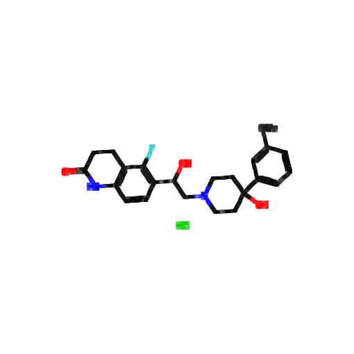 COc1cccc(C2(O)CCN(CC(O)c3ccc4c(c3F)CCC(=O)N4)CC2)c1.Cl